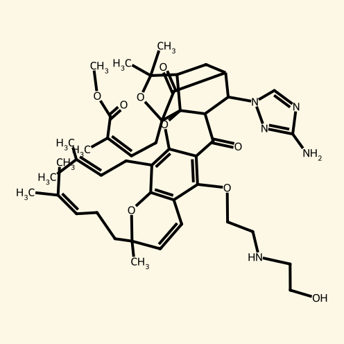 COC(=O)/C(C)=C\CC12OC(C)(C)C3CC(C1=O)C(n1cnc(N)n1)C1C(=O)c4c(OCCNCCO)c5c(c(CC=C(C)C)c4OC132)OC(C)(CCC=C(C)C)C=C5